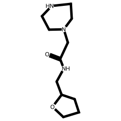 O=C(CN1CCNCC1)NCC1CCCO1